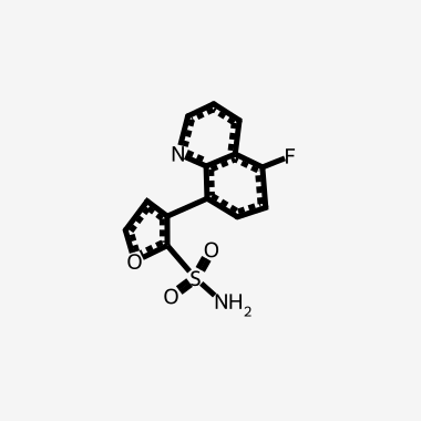 NS(=O)(=O)c1occc1-c1ccc(F)c2cccnc12